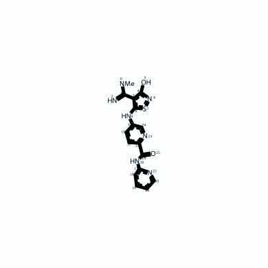 CNC(=N)c1c(O)nsc1Nc1ccc(C(=O)Nc2ccccn2)nc1